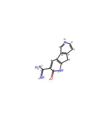 N=C(N)c1cc2c([nH]c1=O)Cc1ccncc1-2